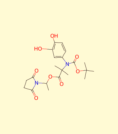 CC(OC(=O)C(C)(C)N(C(=O)OC(C)(C)C)c1ccc(O)c(O)c1)N1C(=O)CCC1=O